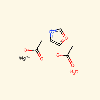 CC(=O)[O-].CC(=O)[O-].O.[Mg+2].c1cocn1